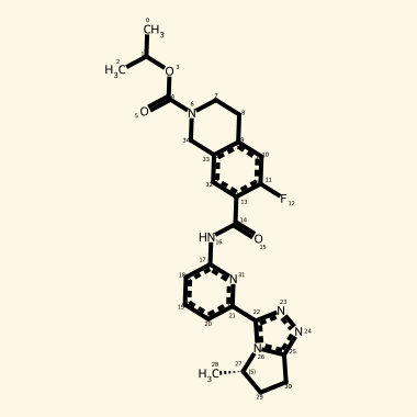 CC(C)OC(=O)N1CCc2cc(F)c(C(=O)Nc3cccc(-c4nnc5n4[C@@H](C)CC5)n3)cc2C1